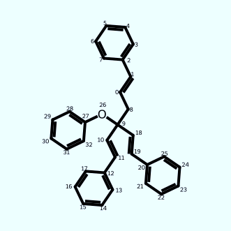 C(=Cc1ccccc1)CC(C=Cc1ccccc1)(C=Cc1ccccc1)Oc1ccccc1